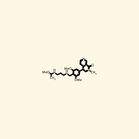 COc1cc(-c2cn(C)c(=O)c3cnccc23)cc(OC)c1CNCCCNC(C)OC